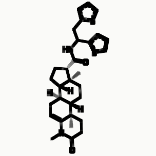 CN1C(=O)CC[C@@]2(C)C1=CC[C@H]1[C@@H]3CC[C@H](C(=O)NC(Cc4cccs4)c4cccs4)[C@@]3(C)CC[C@@H]12